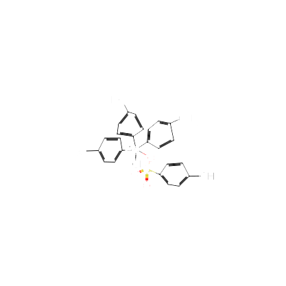 Cc1ccc(S(=O)(=O)O[As](C)(c2ccc(C)cc2)(c2ccc(C)cc2)c2ccc(C)cc2)cc1